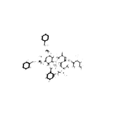 CCC1O[C@H](OC2O[C@H]3CC(C)[C@@H](O[C@@H]4C(NC(=O)OCc5ccccc5)C[C@@H](NC(=O)OCc5ccccc5)C(OC(=O)c5ccccc5)[C@H]4O)OC3C3OC(=O)N(C)C23)C(C)[C@@H](C)[C@@H]1C